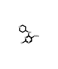 CNc1cnc(Cl)nc1NC1CCOCC1